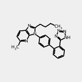 CCCCc1nc2ccc(C)nc2n1-c1ccc(-c2ccccc2-c2nnn[nH]2)cc1